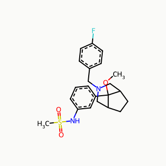 COC1(c2cccc(NS(C)(=O)=O)c2)C2CCC1CN(Cc1ccc(F)cc1)C2